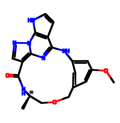 COc1cc2cc(c1)Nc1nc3c(cnn3c3[nH]ccc13)C(=O)N[C@H](C)COC2